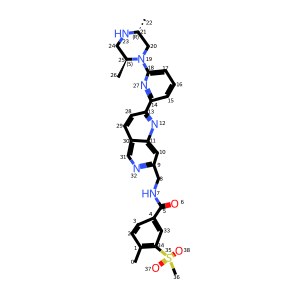 Cc1ccc(C(=O)NCc2cc3nc(-c4cccc(N5C[C@@H](C)NC[C@@H]5C)n4)ccc3cn2)cc1S(C)(=O)=O